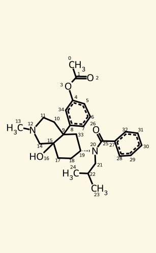 CC(=O)Oc1cccc(C23CCN(C)CC2(O)CC[C@@H](N(CC(C)C)C(=O)c2ccccc2)C3)c1